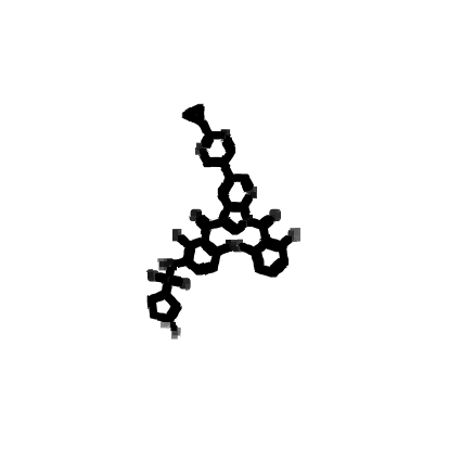 O=C(c1c(F)ccc(NS(=O)(=O)C2CC[C@@H](F)C2)c1F)c1cn(C(=O)c2c(Cl)cccc2Cl)c2ncc(-c3cnc(C4CC4)nc3)cc12